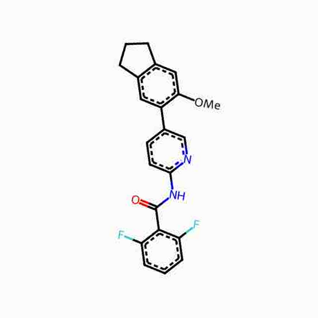 COc1cc2c(cc1-c1ccc(NC(=O)c3c(F)cccc3F)nc1)CCC2